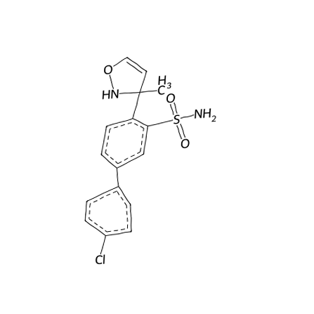 CC1(c2ccc(-c3ccc(Cl)cc3)cc2S(N)(=O)=O)C=CON1